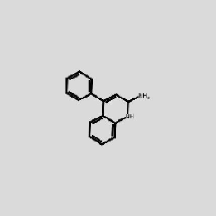 NC1C=C(c2ccccc2)c2ccccc2N1